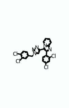 Clc1ccc(-c2nc3ccccn3c2-c2cn(Cc3ccc(Cl)c(Cl)c3)nn2)c(Cl)c1